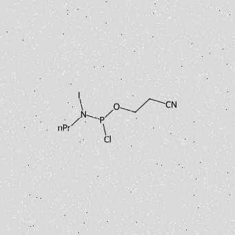 CCCN(I)P(Cl)OCCC#N